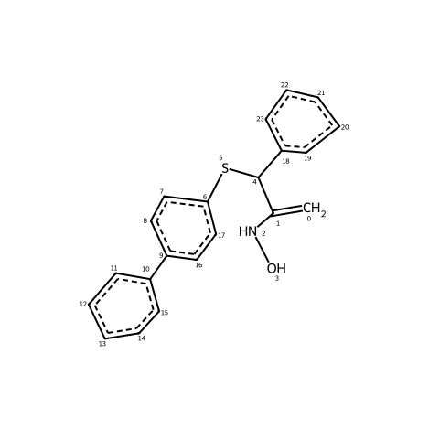 C=C(NO)C(Sc1ccc(-c2ccccc2)cc1)c1ccccc1